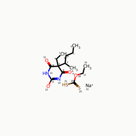 CCCC(C)C1(CC)C(=O)N=C([O-])NC1=O.CCOC(=S)S.[Na+]